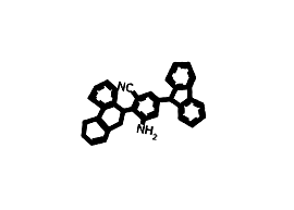 N#Cc1cc(C2c3ccccc3-c3ccccc32)cc(N)c1C1CC2=C(CCC=C2)c2ccccc21